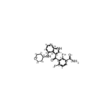 NC(=O)c1ccc(F)c(C(=O)c2c[nH]c3nccc(NC4CCOCC4)c23)c1F